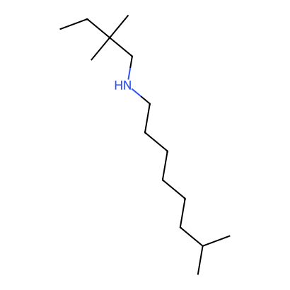 CCC(C)(C)CNCCCCCCC(C)C